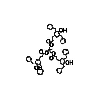 CC(COC(=O)CCc1cc(Cc2ccccc2)c(O)c(Cc2ccccc2)c1)(COC(=O)CCc1cc(Cc2ccccc2)c(O)c(Cc2ccccc2)c1)COC(=O)CCc1cc(Cc2ccccc2)c(O)c(Cc2ccccc2)c1